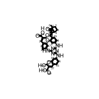 CC12CCC(C(=Cc3ccc(Nc4nc(Nc5ccc(C=C(C(=O)O)C(=O)O)cc5)nc(Nc5ccc(C=C(C(=O)O)C(=O)O)cc5)n4)cc3)C1=O)C2(C)C